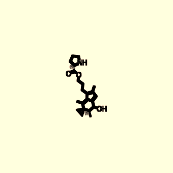 CC1=C(CCCOC(=O)[C@@H]2CCCN2)C2=C(C)C3(CC3)[C@H](C)C(O)C2=C1